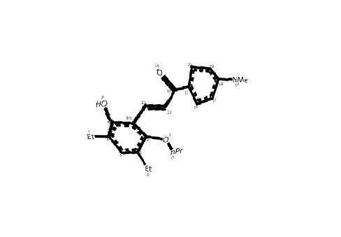 CCCOc1c(CC)cc(CC)c(O)c1/C=C/C(=O)c1ccc(NC)cc1